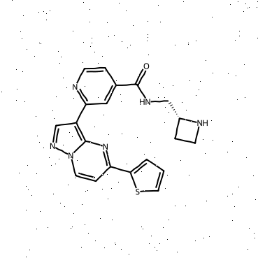 O=C(NC[C@H]1CCN1)c1ccnc(-c2cnn3ccc(-c4cccs4)nc23)c1